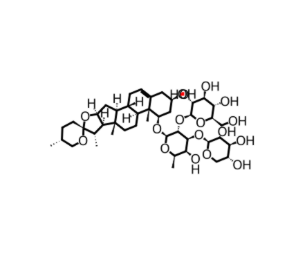 C[C@@H]1CC[C@@]2(OC1)O[C@H]1C[C@H]3[C@@H]4CC=C5C[C@@H](O)C[C@@H](O[C@@H]6O[C@H](C)[C@H](O)[C@H](O[C@@H]7OC[C@@H](O)[C@H](O)[C@H]7O)[C@H]6O[C@@H]6O[C@H](CO)[C@@H](O)[C@H](O)[C@H]6O)[C@]5(C)[C@H]4CC[C@]3(C)[C@H]1[C@@H]2C